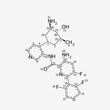 C[C@H]1CC(c2ccncc2NC(=O)c2nc(-c3c(F)cccc3F)c(F)cc2N)C[C@@H](N)[C@@H]1O